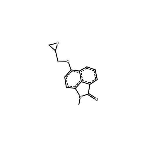 CN1C(=O)c2cccc3c(OCC4CO4)ccc1c23